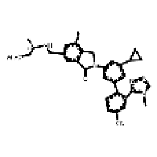 COC[C@@H](C)NCc1cc(F)c2c(c1)C(=O)N(c1cc(-c3ccc(C#N)cc3-c3nncn3C)cc(C3CC3)c1)C2